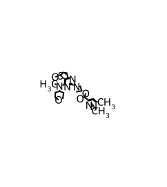 Cc1cc(C(=O)OC2CN(c3nc4c(c(N(C)C5CCOCC5)n3)[S+]([O-])CC4)C2)nn1C